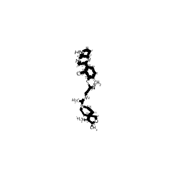 C=N/C(=C\N=C(/C)N1CCC2(CC1)CO[C@@H](C)[C@H]2N)Sc1cccc(-c2cnc3[nH]ccc3n2)c1Cl